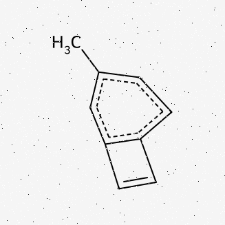 Cc1ccc2c(c1)C=C2